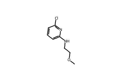 COCCNc1cccc(Cl)n1